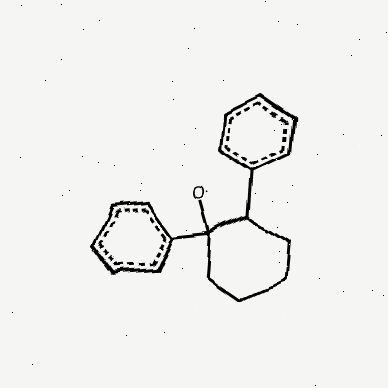 [O]C1(c2ccccc2)CCCCC1c1ccccc1